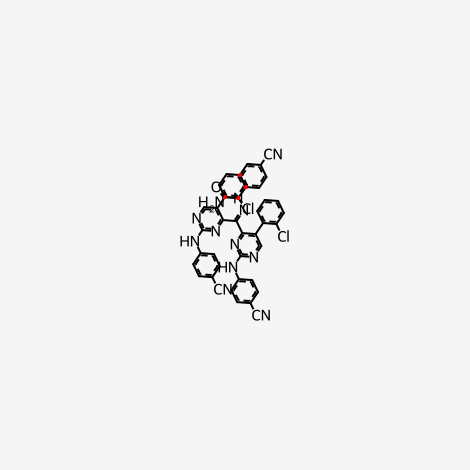 N#Cc1ccc(Nc2ncc(-c3ccccc3Cl)c(C(=NN(C(N)=O)c3ccc(C#N)cc3)c3nc(Nc4ccc(C#N)cc4)ncc3-c3ccccc3Cl)n2)cc1